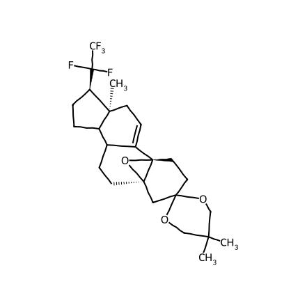 CC1(C)COC2(CC[C@]34O[C@]3(CCC3C4=CC[C@@]4(C)C3CC[C@H]4C(F)(F)C(F)(F)F)C2)OC1